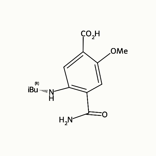 CC[C@@H](C)Nc1cc(C(=O)O)c(OC)cc1C(N)=O